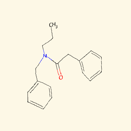 CCCN(Cc1ccccc1)C(=O)Cc1ccccc1